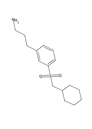 NCCCc1cccc(S(=O)(=O)CC2CCCCC2)c1